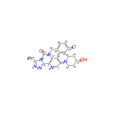 CC(C)c1nnc2c3ncc(N4CCC(O)CC4)cc3n(Cc3ccc(Cl)cc3)c(=O)n12